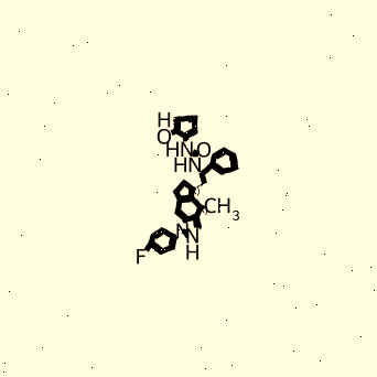 C[C@H]1C2=CNN(c3ccc(F)cc3)C2=CC2=C1[C@@H](CC(NC(=O)Nc1ccccc1O)c1ccccc1)CC2